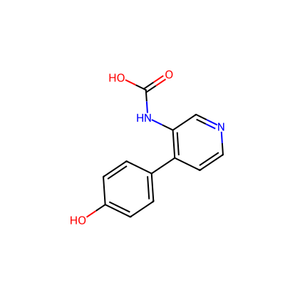 O=C(O)Nc1cnccc1-c1ccc(O)cc1